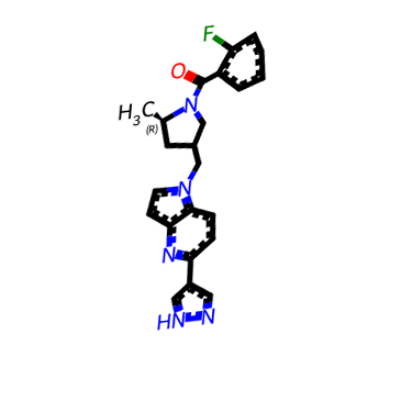 C[C@@H]1CC(Cn2ccc3nc(-c4cn[nH]c4)ccc32)CN1C(=O)c1ccccc1F